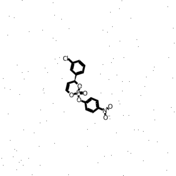 O=[N+]([O-])c1ccc(OP2(=O)OC=C[C@@H](c3cccc(Cl)c3)O2)cc1